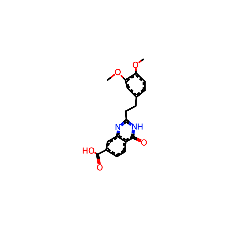 COc1ccc(CCc2nc3cc(C(=O)O)ccc3c(=O)[nH]2)cc1OC